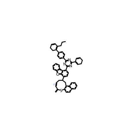 C=C1/C=C\CC(c2ccc(-c3nc(C4=CCCC=C4)nc(-c4ccc(C5=C(CCC)C=CCC5)cc4)n3)c3c2oc2ccccc23)Cc2c(ccc3ccccc23)S1